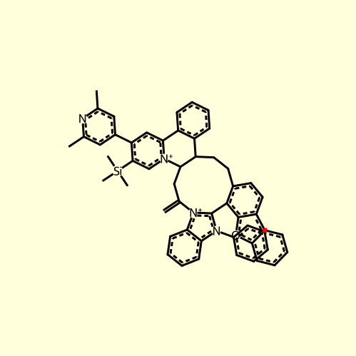 C=C1CC2C(CCc3ccc4c(oc5ccccc54)c3-c3n(-c4ccccc4)c4ccccc4[n+]31)c1ccccc1-c1cc(-c3cc(C)nc(C)c3)c([Si](C)(C)C)c[n+]12